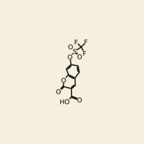 O=C(O)c1cc2ccc(OS(=O)(=O)C(F)(F)F)cc2oc1=O